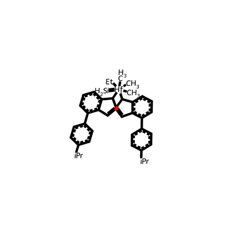 C[CH2][Hf]([CH3])([CH3])([CH3])(=[SiH2])([CH]1C=Cc2c(-c3ccc(C(C)C)cc3)cccc21)[CH]1C=Cc2c(-c3ccc(C(C)C)cc3)cccc21